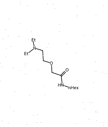 CCCCCCNC(=O)COCCN(CC)CC